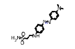 CN(C)c1ccc(/N=N/c2ccc(NCCS(N)(=O)=O)cc2)cc1